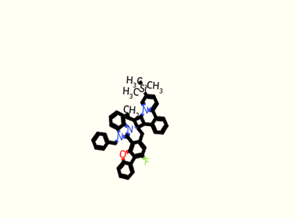 C=CC1C2C(c3ccccc3-c3ccc([Si](C)(C)C)c[n+]32)C12Cc1cc(F)c3c(oc4ccccc43)c1-c1n(Cc3ccccc3)c3ccccc3[n+]12